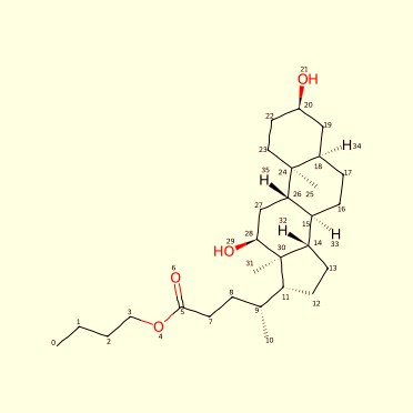 CCCCOC(=O)CC[C@@H](C)[C@H]1CC[C@H]2[C@@H]3CC[C@@H]4C[C@H](O)CC[C@]4(C)[C@H]3C[C@H](O)[C@]12C